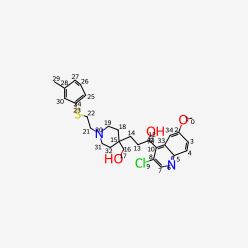 COc1ccc2ncc(Cl)c([C@@H](O)CCC3(CO)CCN(CCSc4cccc(C)c4)CC3)c2c1